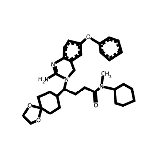 CN(C(=O)CCC(C1CCC2(CC1)OCCO2)N1Cc2cc(Oc3ccccc3)ccc2N=C1N)C1CCCCC1